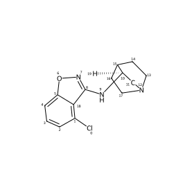 Clc1cccc2onc(N[C@@H]3CN4CCC3CC4)c12